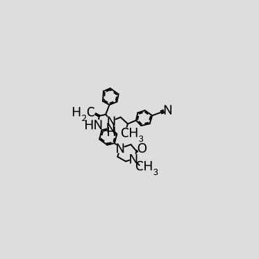 C=C(Nc1ccc(N2CCN(C)C(=O)C2)cn1)C(NCC(C)c1ccc(C#N)cc1)c1ccccc1